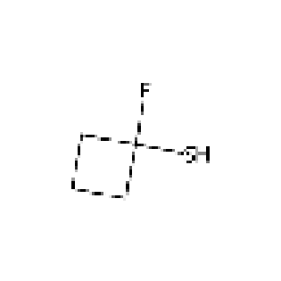 FC1(S)CCC1